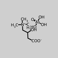 C[N+](C)(C)CC(O)CC(=O)[O-].O=[As](O)(O)O